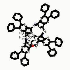 C[Si](C)(C)O[Si]1(O[Si](C)(C)C)n2c3c4nc(-c5ccccc5)c(-c5ccccc5)nc4c2/N=C2N=C(/N=c4/c5nc(-c6ccccc6)c(-c6ccccc6)nc5/c(n41)=N/C1=NC(=N\3)/c3nc(-c4ccccc4)c(-c4ccccc4)nc31)c1nc(-c3ccccc3)c(-c3ccccc3)nc1\2